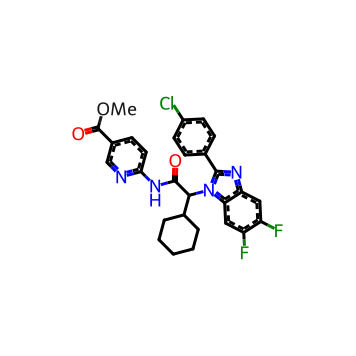 COC(=O)c1ccc(NC(=O)C(C2CCCCC2)n2c(-c3ccc(Cl)cc3)nc3cc(F)c(F)cc32)nc1